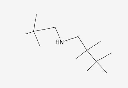 CC(C)(C)CNCC(C)(C)C(C)(C)C